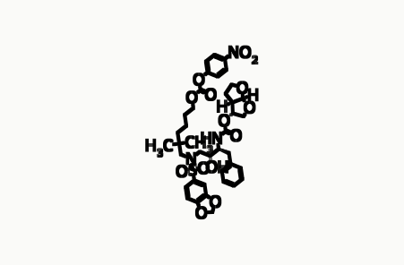 CC(C)(CCCCOC(=O)Oc1ccc([N+](=O)[O-])cc1)CN(C[C@@H](O)[C@H](Cc1ccccc1)NC(=O)O[C@H]1CO[C@H]2OCC[C@H]21)S(=O)(=O)c1ccc2c(c1)OCO2